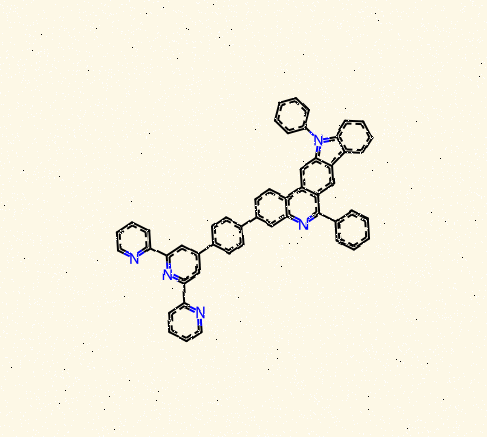 c1ccc(-c2nc3cc(-c4ccc(-c5cc(-c6ccccn6)nc(-c6ccccn6)c5)cc4)ccc3c3cc4c(cc23)c2ccccc2n4-c2ccccc2)cc1